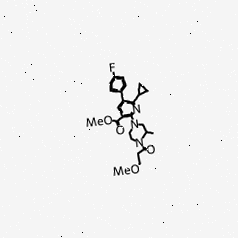 COCCC(=O)N1CCN(c2nc(C3CC3)c(-c3ccc(F)cc3)cc2C(=O)OC)CC1C